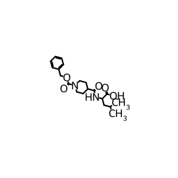 CC(C)CC(NC(=O)C1CCN(C(=O)OCc2ccccc2)CC1)C(=O)O